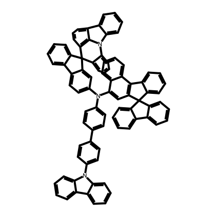 c1ccc2c(c1)-c1ccccc1C21c2ccccc2-c2c1cc(N(c1ccc(-c3ccc(-n4c5ccccc5c5ccccc54)cc3)cc1)c1ccc3c(c1)C1(c4ccccc4-3)c3ccccc3-n3c4ccccc4c4cccc1c43)c1ccccc21